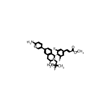 COC(=O)/C=C/c1cc(F)c([C@H]2c3ccc(-c4ccc(N)nc4)cc3C[C@H](C)N2CC(C)(C)F)c(F)c1